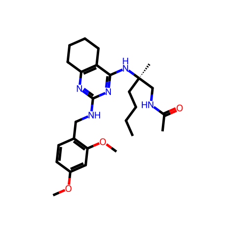 CCCC[C@](C)(CNC(C)=O)Nc1nc(NCc2ccc(OC)cc2OC)nc2c1CCCC2